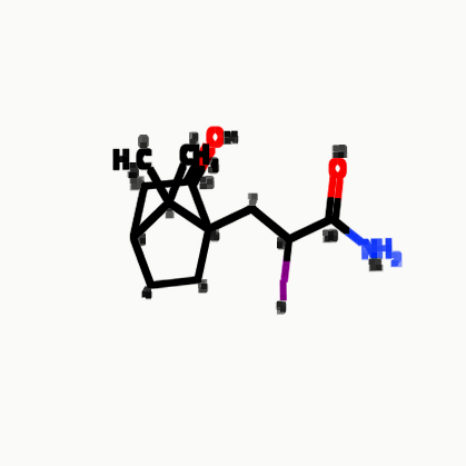 CC1(C)C2CCC1(CC(I)C(N)=O)C(=O)C2